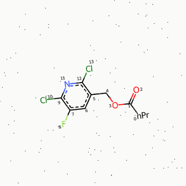 CCCC(=O)OCc1cc(F)c(Cl)nc1Cl